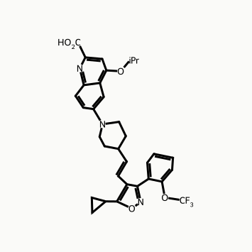 CC(C)Oc1cc(C(=O)O)nc2ccc(N3CCC(C=Cc4c(-c5ccccc5OC(F)(F)F)noc4C4CC4)CC3)cc12